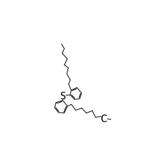 CCCCCCCCCc1ccccc1Sc1ccccc1CCCCCCCCC